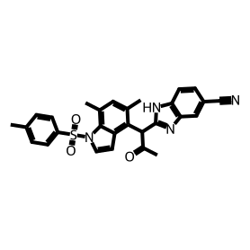 CC(=O)C(c1nc2cc(C#N)ccc2[nH]1)c1c(C)cc(C)c2c1ccn2S(=O)(=O)c1ccc(C)cc1